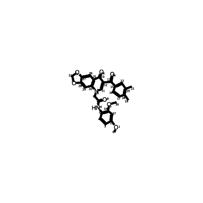 COc1ccc(NC(=O)Cn2cc(C(=O)c3ccc(C)c(C)c3)c(=O)c3cc4c(cc32)OCO4)c(OC)c1